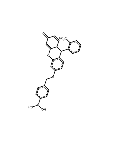 O=C1C=CC2C(=C1)Oc1cc(OCc3ccc(B(O)O)cc3)ccc1C2c1ccccc1C(=O)O